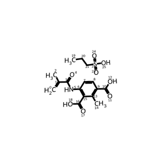 C=C(C)C(=O)Nc1ccc(C(=O)O)c(C)c1C(=O)O.CCCS(=O)(=O)O